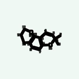 CC1(C)C=Cc2c(ccc3c2OC[CH]C3)O1